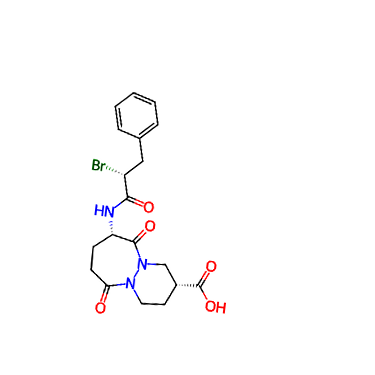 O=C(O)[C@@H]1CCN2C(=O)CC[C@H](NC(=O)[C@H](Br)Cc3ccccc3)C(=O)N2C1